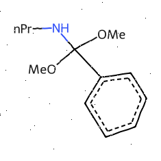 CCCNC(OC)(OC)c1ccccc1